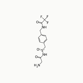 NCC(=O)N[S+]([O-])Cc1ccc(CNC(=O)C(F)(F)F)cc1